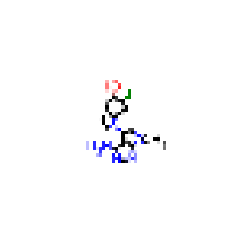 Cn1cc(-n2ccc3cc(O)c(F)cc32)c2c(N)ncnc21